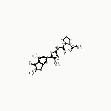 Cc1cc(-c2sc(NC(=O)N3CCC[C@H]3C(N)=O)nc2C)cc2c1C(=O)N(C)C2